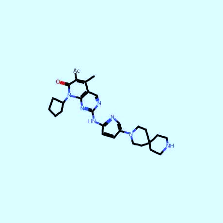 CC(=O)c1c(C)c2cnc(Nc3ccc(N4CCC5(CCNCC5)CC4)cn3)nc2n(C2CCCC2)c1=O